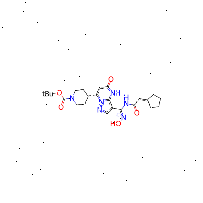 CC(C)(C)OC(=O)N1CCC(c2cc(=O)[nH]c3c(/C(=N\O)NC(=O)C=C4CCCC4)cnn23)CC1